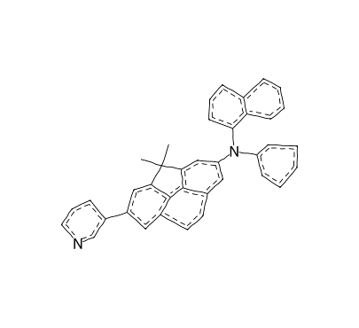 CC1(C)c2cc(-c3cccnc3)cc3ccc4cc(N(c5ccccc5)c5cccc6ccccc56)cc1c4c23